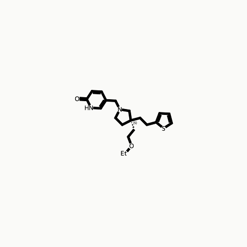 CCOCC[C@]1(CCc2cccs2)CCN(Cc2ccc(=O)[nH]c2)C1